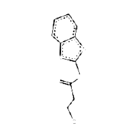 O=C(CCCl)Oc1nc2ccccc2s1